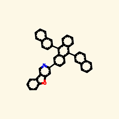 c1ccc2cc(-c3c4ccccc4c(-c4ccc5ccccc5c4)c4cc(-c5cc6oc7ccccc7c6cn5)ccc34)ccc2c1